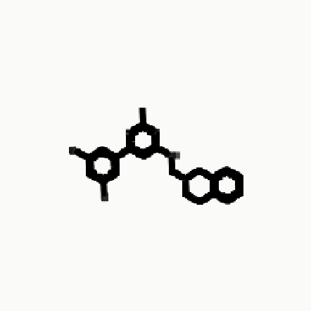 Cc1nc(NCN2CCc3ccccc3C2)cc(-c2cc(Cl)cc(Cl)c2)n1